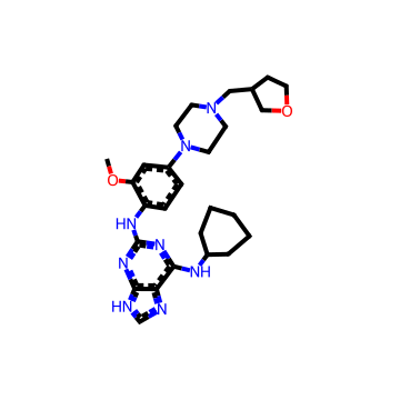 COc1cc(N2CCN(CC3CCOC3)CC2)ccc1Nc1nc(NC2CCCCC2)c2nc[nH]c2n1